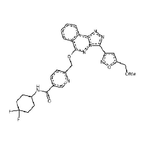 COCc1cc(-c2nnc3c4ccccc4c(OCc4ccc(C(=O)NC5CCC(F)(F)CC5)cn4)nn23)no1